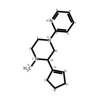 CN1CCN(c2ccccn2)CC1C1=CCCC1